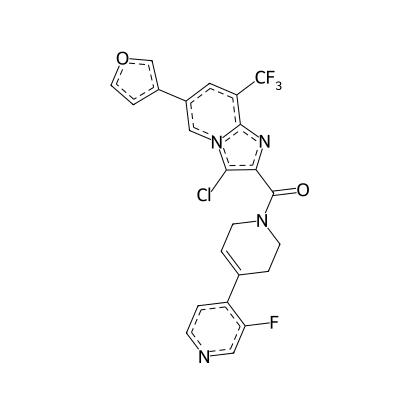 O=C(c1nc2c(C(F)(F)F)cc(-c3ccoc3)cn2c1Cl)N1CC=C(c2ccncc2F)CC1